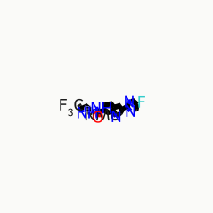 CN/C(=C\C(=N)C(F)(F)F)NC(=O)c1ccc2cc(-c3ncc(F)cn3)cnc2c1